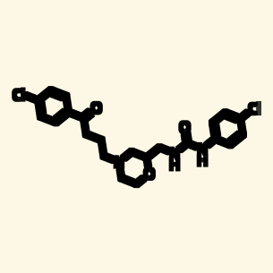 O=C(NCC1CN(CCCC(=O)c2ccc(Cl)cc2)CCO1)Nc1ccc(Cl)cc1